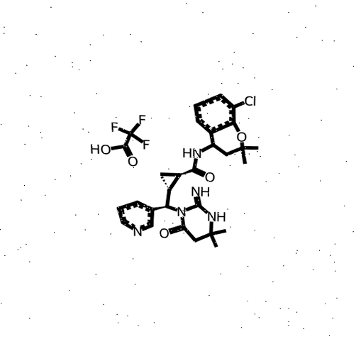 CC1(C)CC(=O)N([C@@H](c2cccnc2)[C@@H]2C[C@H]2C(=O)NC2CC(C)(C)Oc3c(Cl)cccc32)C(=N)N1.O=C(O)C(F)(F)F